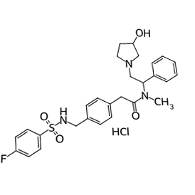 CN(C(=O)Cc1ccc(CNS(=O)(=O)c2ccc(F)cc2)cc1)C(CN1CCC(O)C1)c1ccccc1.Cl